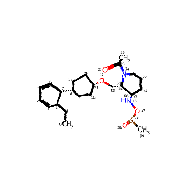 CCC1C=CC=CC1[C@H]1CC[C@@H](OC[C@H]2[C@@H](NOS(C)=O)CCCN2C(C)=O)CC1